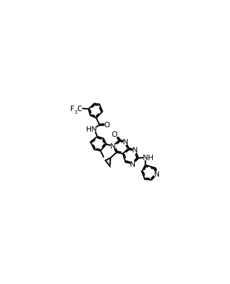 Cc1ccc(NC(=O)c2cccc(C(F)(F)F)c2)cc1-n1c(C2CC2)c2cnc(Nc3cccnc3)nc2nc1=O